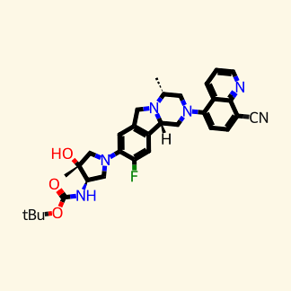 C[C@@H]1CN(c2ccc(C#N)c3ncccc23)C[C@@H]2c3cc(F)c(N4C[C@@H](NC(=O)OC(C)(C)C)[C@](C)(O)C4)cc3CN12